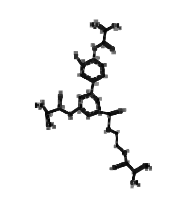 C=C(C)C(=O)OCCOC(=O)c1cc(OC(=O)C(=C)C)cc(-c2ccc(OC(=O)C(=C)C)c(F)c2)c1